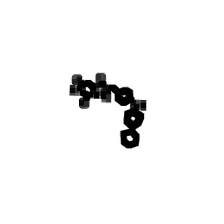 O=C1C[C@@H](C(=O)NCc2ccc(Nc3ccc(C4CCCCC4)cc3)cc2)NC(=O)N1